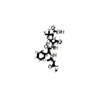 COC(=O)/C=C(\C)NC(C(=O)NC1C(=O)N2[C@@H]1SC(C)(C)[C@@H]2C(=O)O)c1ccccc1